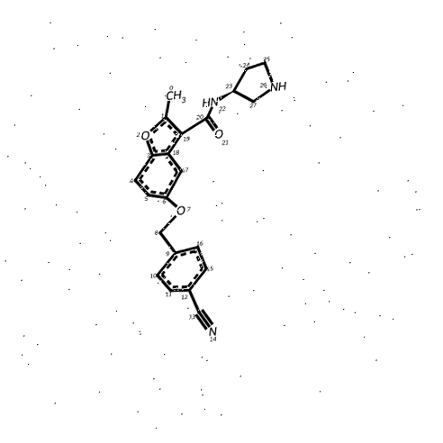 Cc1oc2ccc(OCc3ccc(C#N)cc3)cc2c1C(=O)N[C@H]1CCNC1